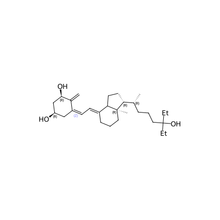 C=C1/C(=C\C=C2CCC[C@@]3(C)C2CC[C@@H]3[C@H](C)CCCC(O)(CC)CC)C[C@@H](O)C[C@H]1O